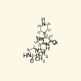 CC1(C)C(=O)NCCN1C(=O)c1cnn2c(C3CCNCC3)cc(=O)[nH]c12